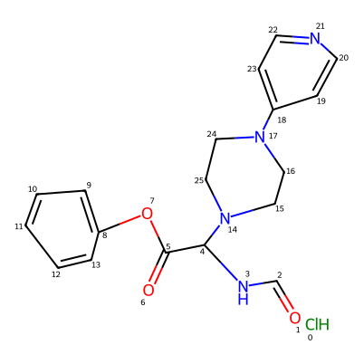 Cl.O=CNC(C(=O)Oc1ccccc1)N1CCN(c2ccncc2)CC1